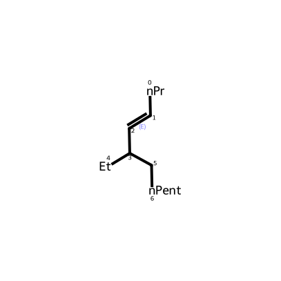 [CH2]CC/C=C/C(CC)CCCCC[CH2]